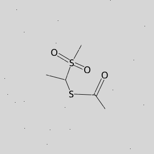 CC(=O)SC(C)S(C)(=O)=O